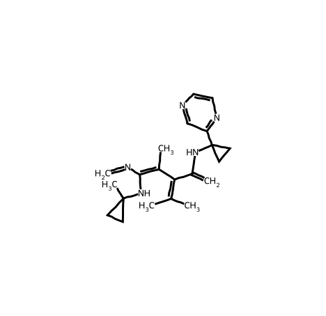 C=N/C(NC1(C)CC1)=C(\C)C(C(=C)NC1(c2cnccn2)CC1)=C(C)C